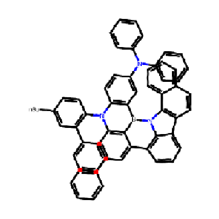 CCCCc1ccc(N2c3ccc(N(c4ccccc4)c4ccccc4)cc3B3c4c(cc(-c5ccccc5)cc42)-c2cccc4c5ccc6ccccc6c5n3c24)c(-c2ccccc2)c1